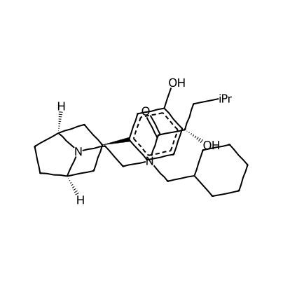 CC(C)C[C@H](O)C(=O)N(CCN1[C@@H]2CC[C@H]1C[C@@H](c1cccc(O)c1)C2)CC1CCCCC1